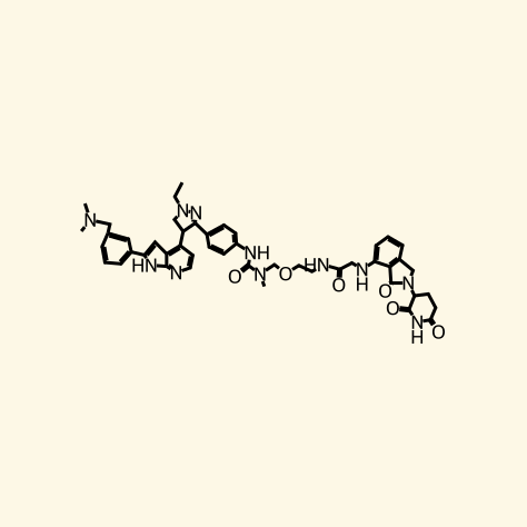 CCN1CC(c2ccnc3[nH]c(-c4cccc(CN(C)C)c4)cc23)C(c2ccc(NC(=O)N(C)COCCNC(=O)CNc3cccc4c3C(=O)N(C3CCC(=O)NC3=O)C4)cc2)=N1